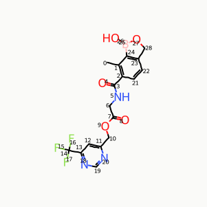 Cc1c(C(=O)NCC(=O)OCc2cc(C(F)(F)F)ncn2)ccc2c1B(O)OC2